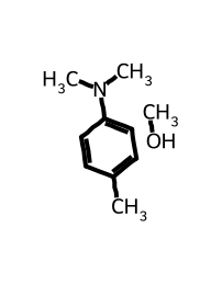 CO.Cc1ccc(N(C)C)cc1